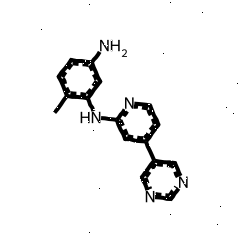 Cc1ccc(N)cc1Nc1cc(-c2cncnc2)ccn1